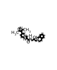 Cc1noc(C)c1-c1ccc2nc(C(=O)NCC(O)CN3CCc4ccccc4C3)cn2c1